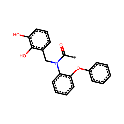 CCC(=O)N(Cc1cccc(O)c1O)c1ccccc1Oc1ccccc1